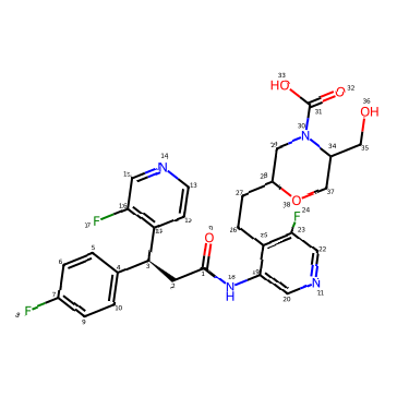 O=C(C[C@@H](c1ccc(F)cc1)c1ccncc1F)Nc1cncc(F)c1CCC1CN(C(=O)O)C(CO)CO1